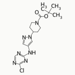 CC(C)(C)OC(=O)N1CCC(n2cc(Nc3ncnc(Cl)n3)cn2)CC1